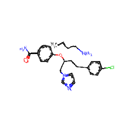 CCCCN.NC(=O)c1ccc(OC(CCc2ccc(Cl)cc2)Cn2ccnc2)cc1